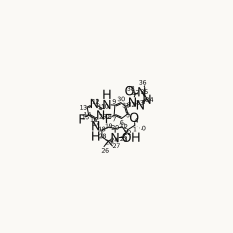 C[C@H](CO)Oc1cc(F)c(Nc2ncc(F)c(N[C@@H]3CC4CCCN4C(C)(C)C3)n2)cc1-n1nnn(C)c1=O